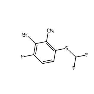 N#Cc1c(SC(F)F)ccc(F)c1Br